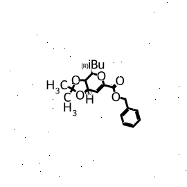 CC[C@@H](C)C1OC(C(=O)OCc2ccccc2)=C[C@H]2OC(C)(C)OC12